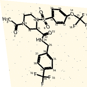 CC(=O)N1CCN(S(=O)(=O)c2ccc(OC(F)(F)F)cc2)C(C(=O)NCc2ccc(C(F)(F)F)cc2)C1